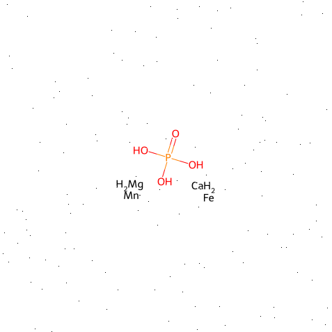 O=P(O)(O)O.[CaH2].[Fe].[MgH2].[Mn]